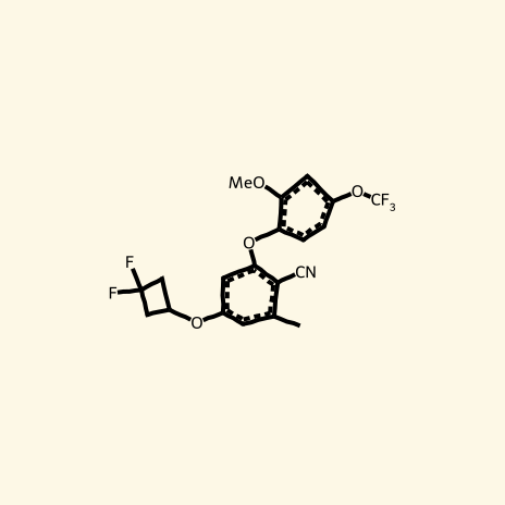 COc1cc(OC(F)(F)F)ccc1Oc1cc(OC2CC(F)(F)C2)cc(C)c1C#N